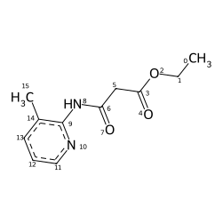 CCOC(=O)CC(=O)Nc1ncccc1C